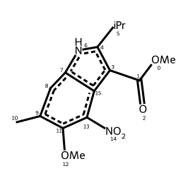 COC(=O)c1c(C(C)C)[nH]c2cc(C)c(OC)c([N+](=O)[O-])c12